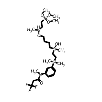 CO[Si](CC[SiH](C)OCCCC[Si](C)(O)CC[Si](C)(C)c1cccc(N(C)C(=O)CC(F)(F)F)c1)(OC)OC